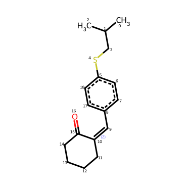 CC(C)CSc1ccc(/C=C2/CCCCC2=O)cc1